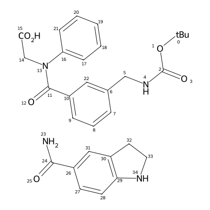 CC(C)(C)OC(=O)NCc1cccc(C(=O)N(CC(=O)O)c2ccccc2)c1.NC(=O)c1ccc2c(c1)CCN2